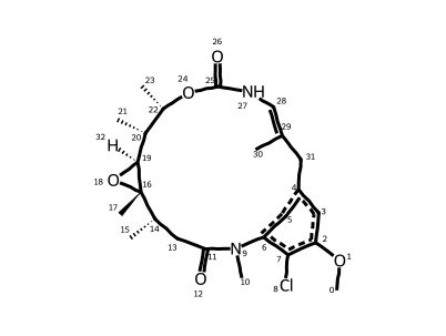 COc1cc2cc(c1Cl)N(C)C(=O)C[C@H](C)[C@]1(C)O[C@H]1[C@H](C)[C@H](C)OC(=O)N/C=C(\C)C2